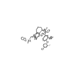 CN(C1CCCc2c1cnn2CC(=O)O)S(=O)(=O)c1cnc(Oc2ccc(Cl)cc2F)c(Br)c1